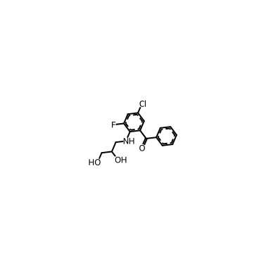 O=C(c1ccccc1)c1cc(Cl)cc(F)c1NCC(O)CO